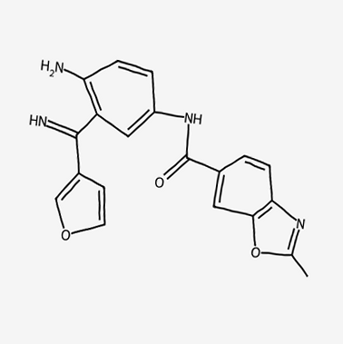 Cc1nc2ccc(C(=O)Nc3ccc(N)c(C(=N)c4ccoc4)c3)cc2o1